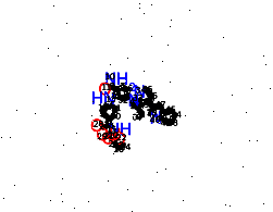 CCc1cn(-c2ccc(C(N)=O)c(NC3CCC(C(NC(=O)OC(C)(C)C)C(=O)O)CC3)c2)c2nccc(-c3cnc4ccccc4c3)c12